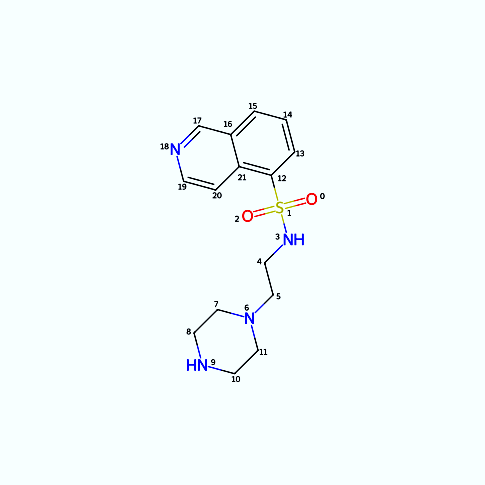 O=S(=O)(NCCN1CCNCC1)c1cccc2cnccc12